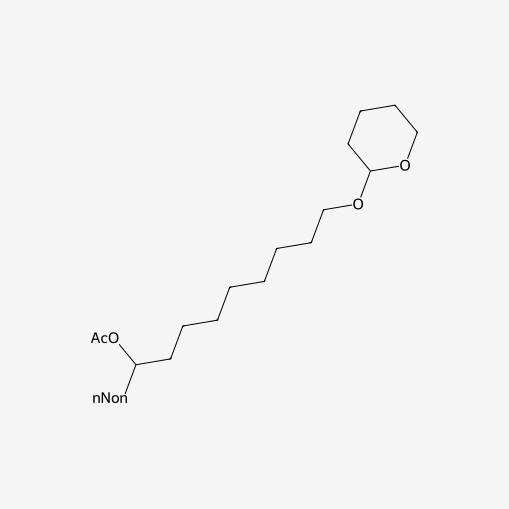 CCCCCCCCCC(CCCCCCCCOC1CCCCO1)OC(C)=O